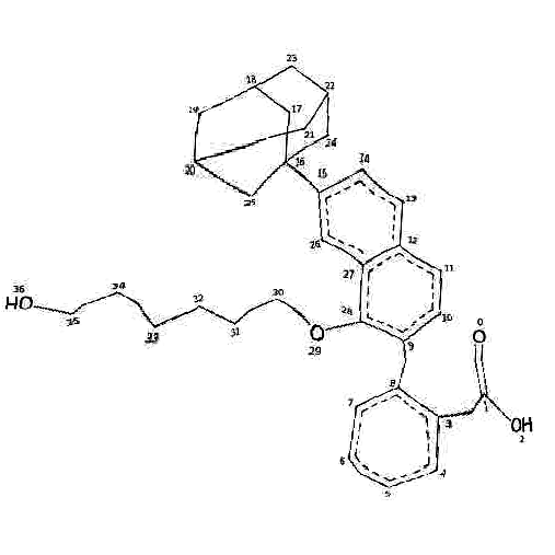 O=C(O)c1ccccc1-c1ccc2ccc(C34CC5CC(CC(C5)C3)C4)cc2c1OCCCCCCO